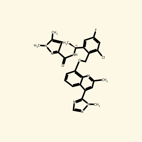 Cc1cc(-c2ncnn2C)c2cccc(OCc3c(Cl)cc(F)cc3[C@H](C)NC(=O)c3cc(C)n(C)n3)c2n1